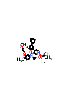 COCCCOc1cc(N(C(=O)[C@H]2CN(C(=O)OC(C)(C)C)CC[C@@H]2c2cccc(-c3ccccc3)c2)C2CC2)ccc1C